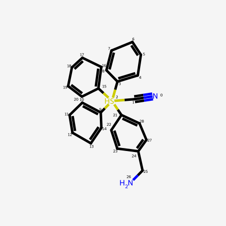 N#C[SH](c1ccccc1)(c1ccccc1)(c1ccccc1)c1ccc(CN)cc1